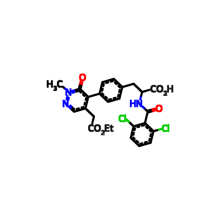 CCOC(=O)Cc1cnn(C)c(=O)c1-c1ccc(CC(NC(=O)c2c(Cl)cccc2Cl)C(=O)O)cc1